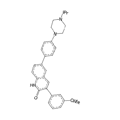 COc1cccc(-c2cc3cc(-c4ccc(N5CCN(C(C)C)CC5)cc4)ccc3[nH]c2=O)c1